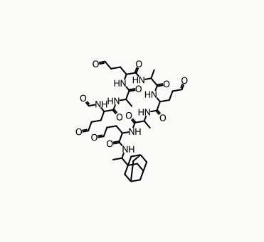 CC(NC(=O)C(CCC=O)NC=O)C(=O)NC(CCC=O)C(=O)NC(C)C(=O)NC(CCC=O)C(=O)NC(C)C(=O)NC(CCC=O)C(=O)NC(C)C12CC3CC(CC(C3)C1)C2